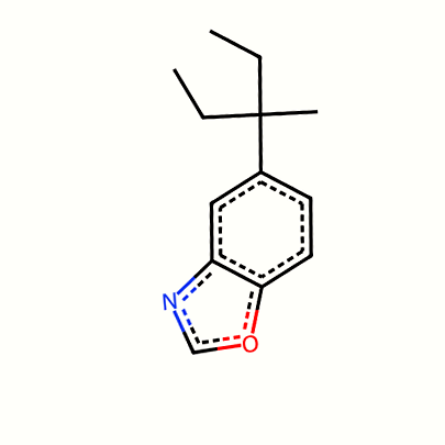 CCC(C)(CC)c1ccc2ocnc2c1